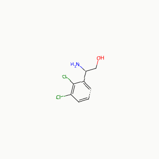 NC(CO)c1cccc(Cl)c1Cl